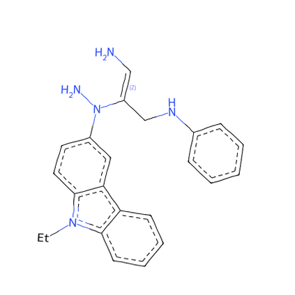 CCn1c2ccccc2c2cc(N(N)/C(=C\N)CNc3ccccc3)ccc21